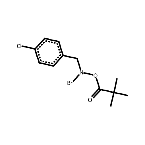 CC(C)(C)C(=O)ON(Br)Cc1ccc(Cl)cc1